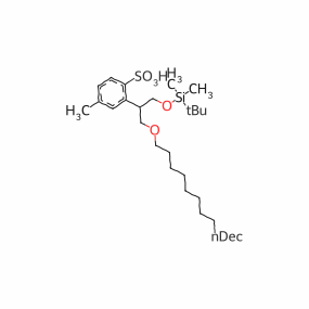 CCCCCCCCCCCCCCCCCCOCC(CO[Si](C)(C)C(C)(C)C)c1cc(C)ccc1S(=O)(=O)O